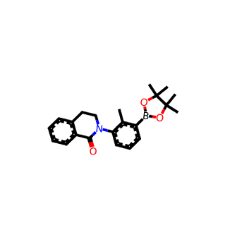 Cc1c(B2OC(C)(C)C(C)(C)O2)cccc1N1CCc2ccccc2C1=O